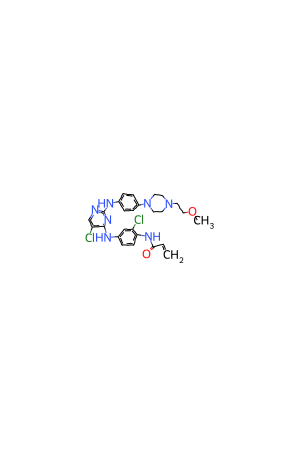 C=CC(=O)Nc1ccc(Nc2nc(Nc3ccc(N4CCN(CCOC)CC4)cc3)ncc2Cl)cc1Cl